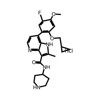 COc1cc(OCC2CC2)c(-c2ccnc3c(C(=O)NC4CCNCC4)c(C)[nH]c23)cc1F.Cl